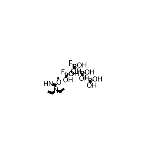 CCN(CC)C(=N)OC.OB(O)F.OB(O)F.OB(O)F.OB(O)F